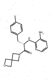 Cc1ccc(C[C@H](Nc2ncccc2N)C(=O)N2CC3(COC3)C2)cc1